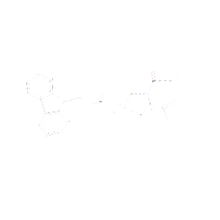 CCC(=O)N1C[C@@H](NC(=O)OCC2c3ccccc3-c3ccccc32)C[C@H]1C(=O)O